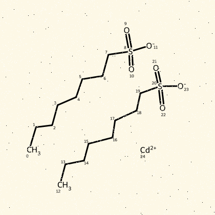 CCCCCCCCS(=O)(=O)[O-].CCCCCCCCS(=O)(=O)[O-].[Cd+2]